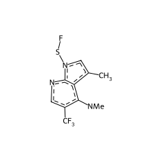 CNc1c(C(F)(F)F)cnc2c1c(C)cn2SF